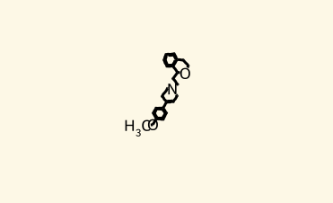 COc1ccc(C2=CCN(CCC3OCCc4ccccc43)CC2)cc1